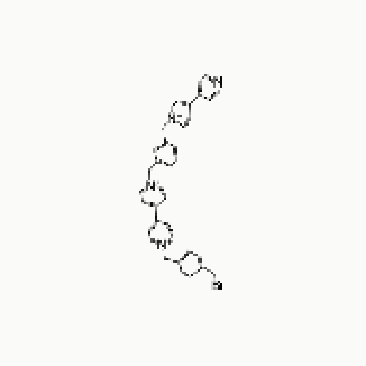 BrCc1ccc(C[n+]2ccc(-c3cc[n+](Cc4cccc(C[n+]5ccc(-c6ccncc6)cc5)c4)cc3)cc2)cc1